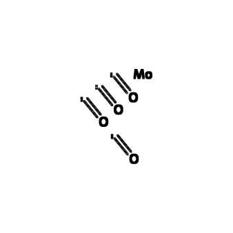 [C]=O.[C]=O.[C]=O.[C]=O.[Mo]